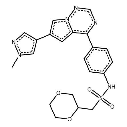 Cn1cc(-c2cc3c(-c4ccc(NS(=O)(=O)CC5COCCO5)cc4)ncnn3c2)cn1